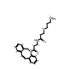 COCCCOCCC(=O)NCCC(=O)N1Cc2ccccc2/C=C\c2ccccc21